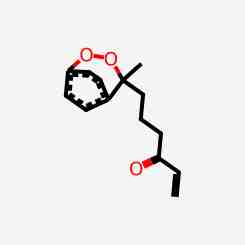 C=CC(=O)CCCC1(C)OOc2ccc1cc2